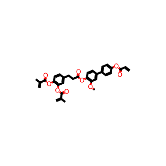 C=CC(=O)Oc1ccc(-c2ccc(OC(=O)CCc3ccc(OC(=O)C(=C)C)c(OC(=O)C(=C)C)c3)c(OC)c2)cc1